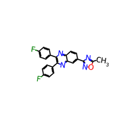 Cc1nc(-c2ccc3nc(-c4ccc(F)cc4)c(-c4ccc(F)cc4)nc3c2)no1